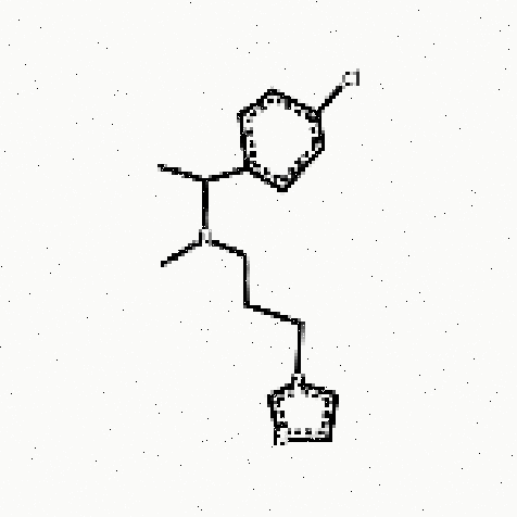 CC(c1ccc(Cl)cc1)N(C)CCCn1ccnc1